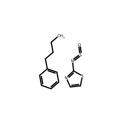 CCCCc1ccccc1.O=S=Nc1nccs1